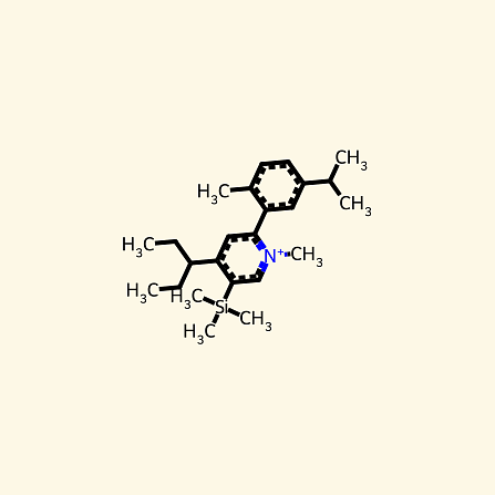 CCC(CC)c1cc(-c2cc(C(C)C)ccc2C)[n+](C)cc1[Si](C)(C)C